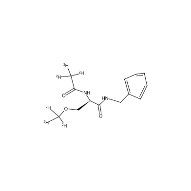 [2H]C([2H])([2H])OC[C@@H](NC(=O)C([2H])([2H])[2H])C(=O)NCc1ccccc1